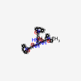 Cc1ccccc1CN(C(=O)CCCCC(=O)NCCN(CCNC(=O)CCCCC(=O)N1Cc2ccccc2C#Cc2ccccc21)CCNC(=O)CCCCC(=O)N1Cc2ccccc2C#Cc2ccccc21)c1ccccc1C